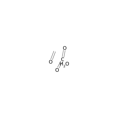 C=O.O.O=C=O